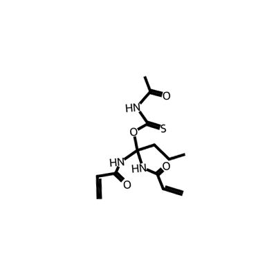 C=CC(=O)NC(CCC)(NC(=O)C=C)OC(=S)NC(C)=O